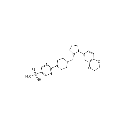 CS(=N)(=O)c1cnc(N2CCC(CN3CCCC3c3ccc4c(c3)OCCO4)CC2)nc1